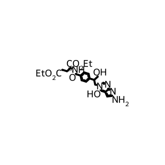 CCOC(=O)CC[C@H](NC(=O)c1ccc(C(CO)Cn2cnc3nc(N)cc-3c2O)cc1)C(=O)OCC